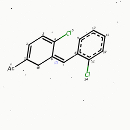 CC(=O)C1=CC=C(Cl)/C(=C\c2ccccc2Cl)C1